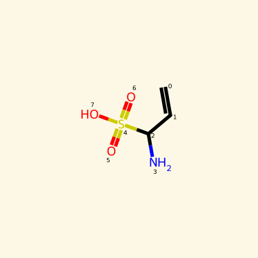 C=CC(N)S(=O)(=O)O